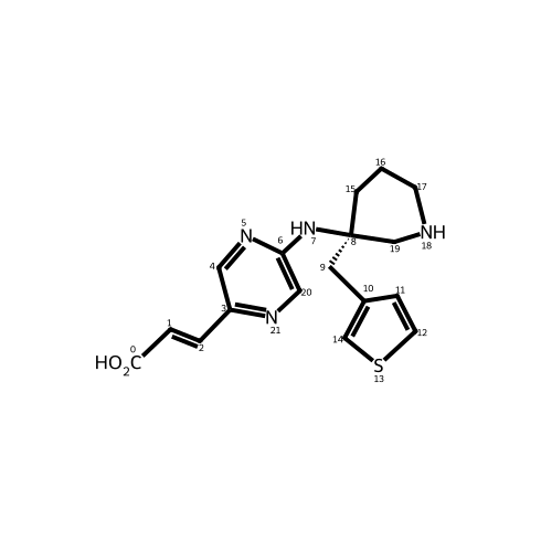 O=C(O)/C=C/c1cnc(N[C@@]2(Cc3ccsc3)CCCNC2)cn1